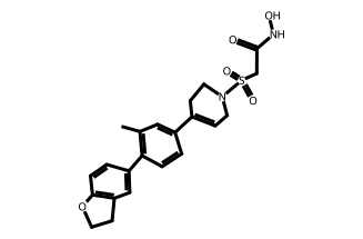 Cc1cc(C2=CCN(S(=O)(=O)CC(=O)NO)CC2)ccc1-c1ccc2c(c1)CCO2